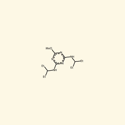 CCC(CC)Nc1nc(NC(CC)CC)nc(OC)n1